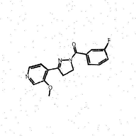 COc1cnccc1C1=NN(C(=O)c2cccc(F)c2)CC1